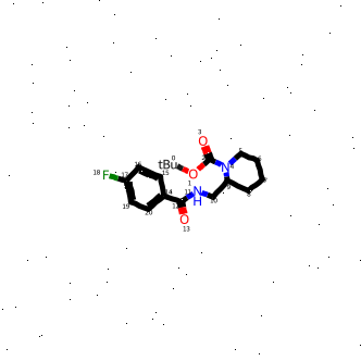 CC(C)(C)OC(=O)N1CCCCC1CNC(=O)c1ccc(F)cc1